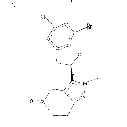 Cn1nc2c(c1[C@H]1Cc3cc(Cl)cc(Br)c3O1)CC(=O)CC2